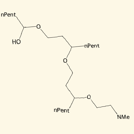 CCCCCC(O)OCCC(CCCCC)OCCC(CCCCC)OCCNC